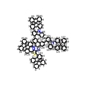 c1ccc2c(c1)-c1ccccc1C21c2ccccc2-c2c(-c3sc(-c4cccc5c4-c4ccccc4C54c5ccccc5-c5ccccc54)c4nc5c6ccc(-c7cccc8c7c7ccccc7n8-c7cccc8c7-c7ccccc7C87c8ccccc8-c8ccccc87)cc6c6cc(-c7cccc8c7c7ccccc7n8-c7cccc8c7-c7ccccc7C87c8ccccc8-c8ccccc87)ccc6c5nc34)cccc21